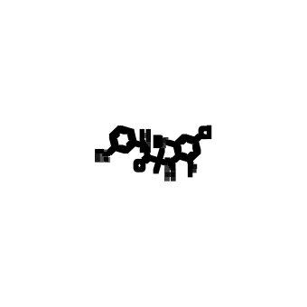 CCc1cccc(NC(=O)C(C)(C)Nc2c(F)cc(Cl)cc2Br)c1